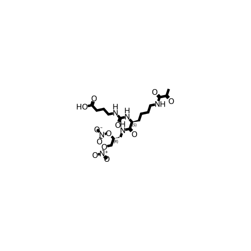 CC(=O)C(=O)NCCCC[C@H](NC(=O)NCCCC(=O)O)C(=O)NC[C@H](CO[N+](=O)[O-])O[N+](=O)[O-]